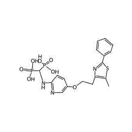 Cc1sc(-c2ccccc2)nc1CCOc1ccc(NC(P(=O)(O)O)P(=O)(O)O)nc1